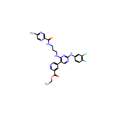 CCOC(=O)c1cncc(-c2cnc(Nc3ccc(F)c(Cl)c3)nc2NCCCNC(=O)c2cnc(C)cn2)c1